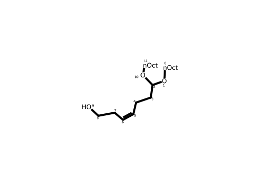 CCCCCCCCOC(CC/C=C\CCO)OCCCCCCCC